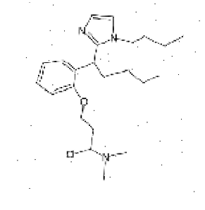 CCCCC(c1ccccc1OCCC(Cl)N(C)C)c1nccn1CCCC